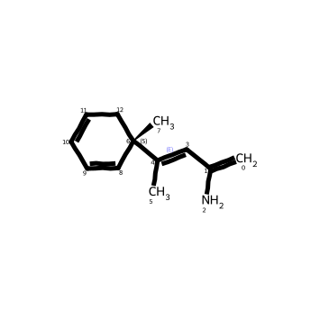 C=C(N)/C=C(\C)[C@]1(C)C=CC=CC1